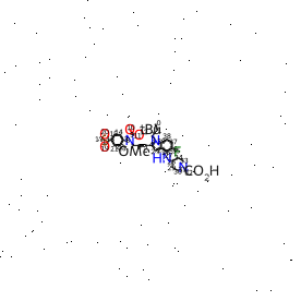 C=CCn1c(C#CCN(C(=O)OC(C)(C)C)c2ccc(S(C)(=O)=O)cc2OC)cc2c(N[C@H]3CCN(C(=O)O)C[C@H]3F)cccc21